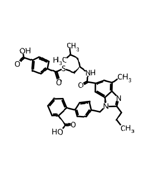 CCCc1nc2c(C)cc(C(=O)N[C@@H](CSC(=O)c3ccc(C(=O)O)cc3)CC(C)C)cc2n1Cc1ccc(-c2ccccc2C(=O)O)cc1